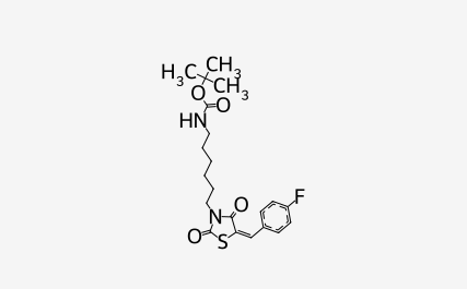 CC(C)(C)OC(=O)NCCCCCCN1C(=O)SC(=Cc2ccc(F)cc2)C1=O